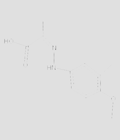 COc1ccc(NN=C(C)C(=O)O)cc1C